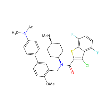 CN[C@H]1CC[C@@H](N(Cc2cc(-c3ccc(N(C)C(C)=O)cc3)ccc2OC)C(=O)c2sc3c(F)ccc(F)c3c2Cl)CC1